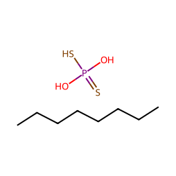 CCCCCCCC.OP(O)(=S)S